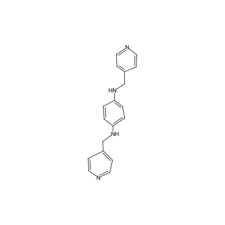 c1cc(CNc2ccc(NCc3ccncc3)cc2)ccn1